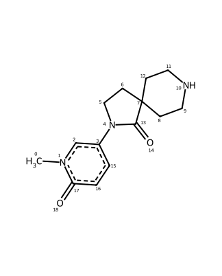 Cn1cc(N2CCC3(CCNCC3)C2=O)ccc1=O